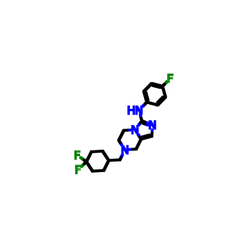 Fc1ccc(Nc2ncc3n2CCN(CC2CCC(F)(F)CC2)C3)cc1